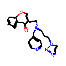 O=c1c(CN(CCCn2ccnn2)Cc2ccncc2)coc2ccccc12